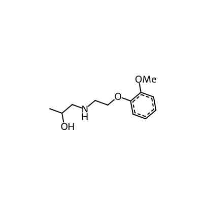 COc1ccccc1OCCNCC(C)O